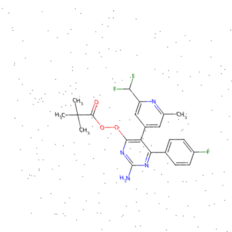 Cc1cc(-c2c(OOC(=O)C(C)(C)C)nc(N)nc2-c2ccc(F)cc2)cc(C(F)F)n1